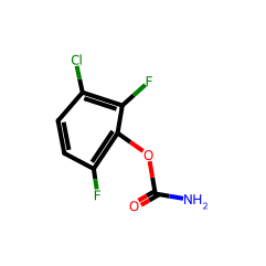 NC(=O)Oc1c(F)ccc(Cl)c1F